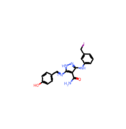 NC(=O)c1c(Nc2cccc(CI)c2)n[nH]c1/N=C/c1ccc(O)cc1